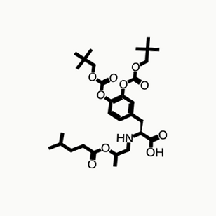 CC(C)CCC(=O)OC(C)CN[C@@H](Cc1ccc(OC(=O)OCC(C)(C)C)c(OC(=O)OCC(C)(C)C)c1)C(=O)O